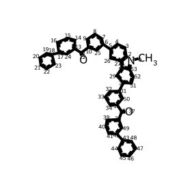 Cn1c2ccc(-c3cccc(C(=O)c4cccc(-c5ccccc5)c4)c3)cc2c2cc(-c3cccc(C(=O)c4cccc(-c5ccccc5)c4)c3)ccc21